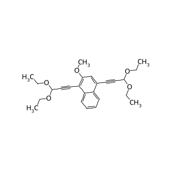 CCOC(C#Cc1cc(OC)c(C#CC(OCC)OCC)c2ccccc12)OCC